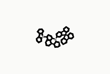 c1ccc(-c2ccccc2N(c2ccc(-n3c4ccccc4c4ccccc43)cc2)c2ccc3c(c2)C2(c4ccccc4-c4ccccc42)c2ccccc2-3)cc1